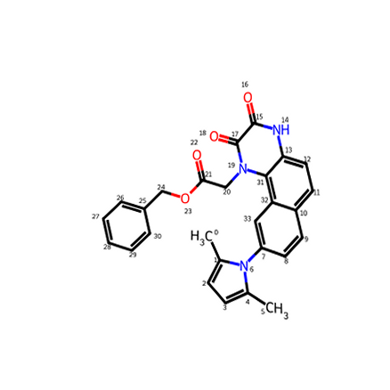 Cc1ccc(C)n1-c1ccc2ccc3[nH]c(=O)c(=O)n(CC(=O)OCc4ccccc4)c3c2c1